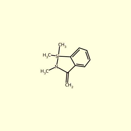 C=C1c2ccccc2[Si](C)(C)N1C